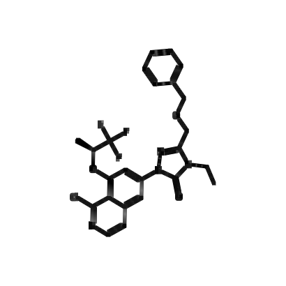 CCn1c(COCc2ccccc2)nn(-c2cc(O[C@@H](C)C(F)(F)F)c3c(Cl)nccc3c2)c1=O